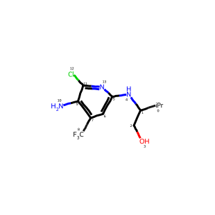 CC(C)C(CO)Nc1cc(C(F)(F)F)c(N)c(Cl)n1